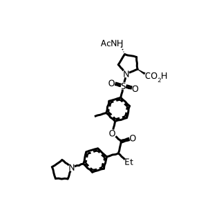 CCC(C(=O)Oc1ccc(S(=O)(=O)N2C[C@H](NC(C)=O)C[C@H]2C(=O)O)cc1C)c1ccc(N2CCCC2)cc1